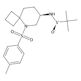 Cc1ccc(S(=O)(=O)N2C[C@H](N[S@+]([O-])C(C)(C)C)CCC23CCC3)cc1